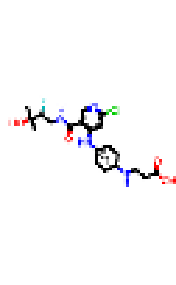 CC(C)(O)C(F)CNC(=O)c1cnc(Cl)cc1NC12CCC(NCCC(=O)O)(CC1)CC2